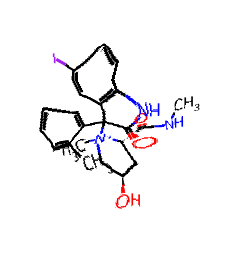 CNC(=O)[C@@H]1C[C@@H](O)C[N+]1(C)C1(c2ccccc2C)C(=O)Nc2ccc(I)cc21